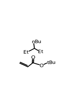 C=CC(=O)OC(C)(C)C.CCCCC(CC)CC